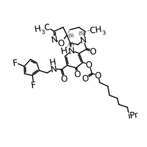 CC1=NO[C@@]2(CC[C@H](C)N3C[C@H]2n2cc(C(=O)NCc4ccc(F)cc4F)c(=O)c(OC(=O)OCCCCCCC(C)C)c2C3=O)C1